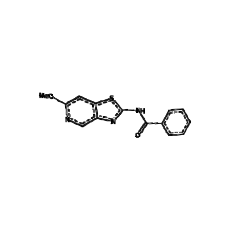 COc1cc2sc(NC(=O)c3ccccc3)nc2cn1